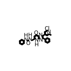 Cc1cc(-c2nc3c(=O)cc(CNC(=O)Nc4ccccc4)[nH]c3nc2-c2ccccc2)cc(Cl)n1